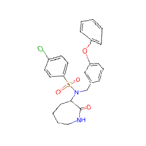 O=C1NCCCCC1N(Cc1cccc(Oc2ccccc2)c1)S(=O)(=O)c1ccc(Cl)cc1